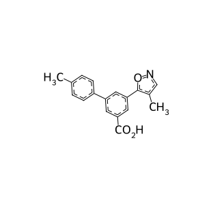 Cc1ccc(-c2cc(C(=O)O)cc(-c3oncc3C)c2)cc1